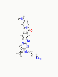 CN(C)C1CCN(C(=O)c2cccc(Nc3ncc(C4CC4)c(NCCCN)n3)c2)CC1